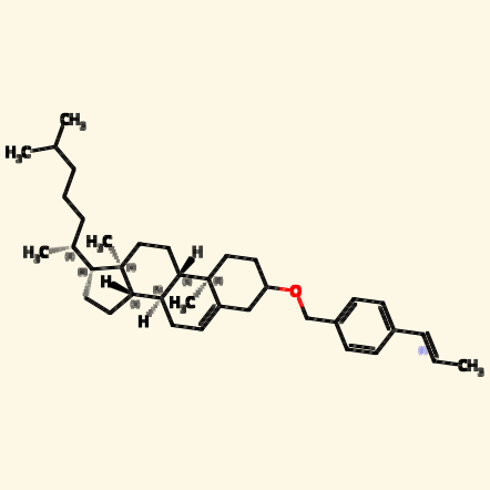 C/C=C/c1ccc(COC2CC[C@@]3(C)C(=CC[C@H]4[C@@H]5CC[C@H]([C@H](C)CCCC(C)C)[C@@]5(C)CC[C@@H]43)C2)cc1